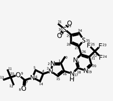 Cc1nn(C2CN(C(=O)OC(C)(C)C)C2)cc1Nc1ncc(C(F)(F)F)c(-c2cc(S(C)(=O)=O)cs2)n1